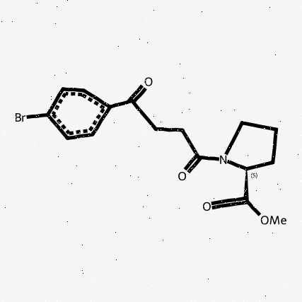 COC(=O)[C@@H]1CCCN1C(=O)CCC(=O)c1ccc(Br)cc1